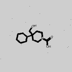 O=C(O)N1CCC(CO)(C2CCCCC2)CC1